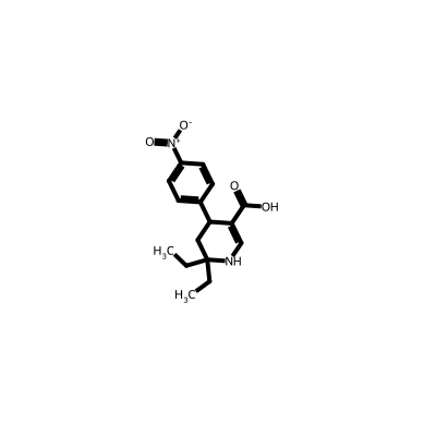 CCC1(CC)CC(c2ccc([N+](=O)[O-])cc2)C(C(=O)O)=CN1